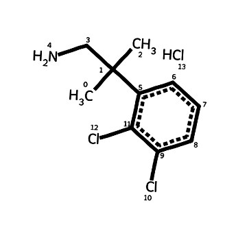 CC(C)(CN)c1cccc(Cl)c1Cl.Cl